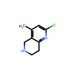 Cc1cc(Cl)nc2c1CNCC2